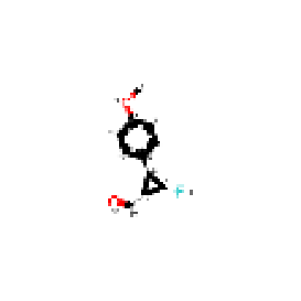 COc1ccc([C@H]2[C@H](F)[C@@H]2C=O)cc1